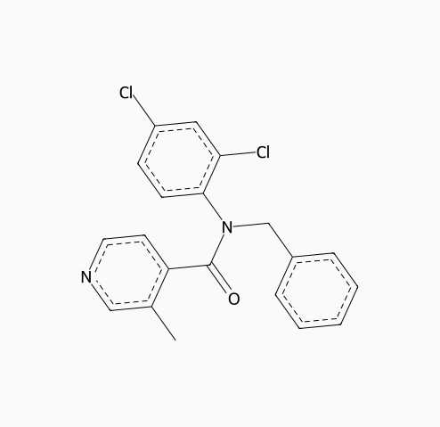 Cc1cnccc1C(=O)N(Cc1ccccc1)c1ccc(Cl)cc1Cl